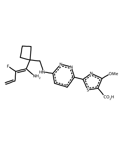 C=C/C(F)=C(\N)C1(CNc2ccc(-c3nc(OC)c(C(=O)O)s3)nn2)CCC1